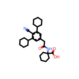 N#Cc1c(C2CCCCC2)cc(CC(=O)NC2(C(=O)O)CCCCC2)cc1C1CCCCC1